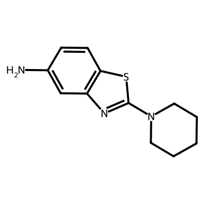 Nc1ccc2sc(N3CCCCC3)nc2c1